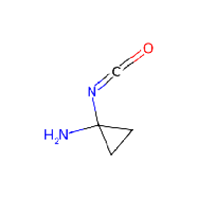 NC1(N=C=O)CC1